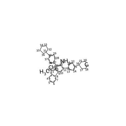 CC1(C)c2ccccc2-c2cc(-c3ccc(C4CCCCC4)cc3)c(N)c(-c3ccc(C4CCCCC4)cc3)c21